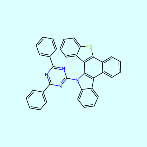 c1ccc(-c2nc(-c3ccccc3)nc(-n3c4ccccc4c4c5ccccc5c5sc6ccccc6c5c43)n2)cc1